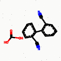 N#Cc1ccccc1-c1ccccc1C#N.O=C(O)O